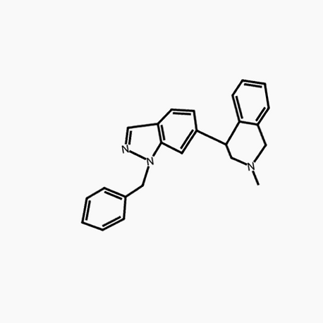 CN1Cc2ccccc2C(c2ccc3cnn(Cc4ccccc4)c3c2)C1